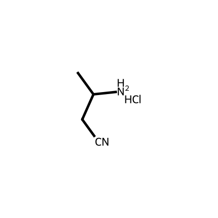 CC(N)CC#N.Cl